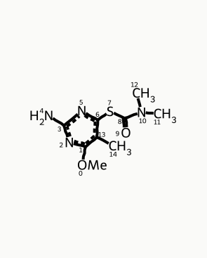 COc1nc(N)nc(SC(=O)N(C)C)c1C